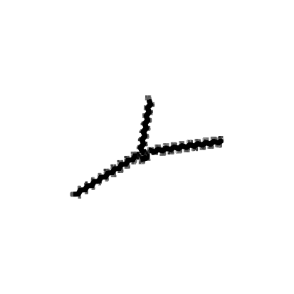 CCCCCCCCCCCCCCCCCCCn1cc[n+](CCCCCCCCCCCCCCCCCCC)c1CCCCCCCCCCCCC